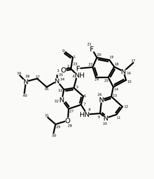 C=CC(=O)Nc1cc(Nc2nccc(-c3cn(C)c4cc(F)c(F)cc34)n2)c(OC(C)C)nc1N(C)CCN(C)C